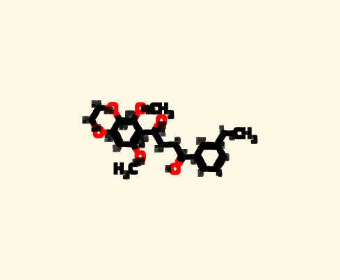 CCc1cccc(C(=O)CCC(=O)c2c(OC)cc3c(c2OC)OCCO3)c1